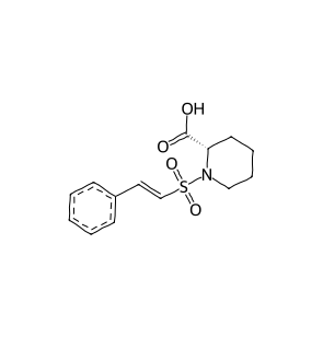 O=C(O)[C@@H]1CCCCN1S(=O)(=O)C=Cc1ccccc1